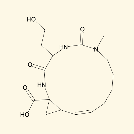 CN1CCCCC=CC2CC2(C(=O)O)NC(=O)C(CCO)NC1=O